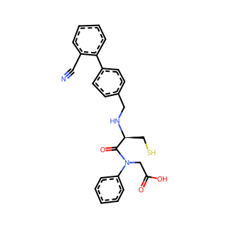 N#Cc1ccccc1-c1ccc(CN[C@@H](CS)C(=O)N(CC(=O)O)c2ccccc2)cc1